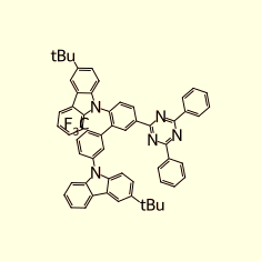 CC(C)(C)c1ccc2c(c1)c1ccccc1n2-c1ccc(C(F)(F)F)c(-c2cc(-c3nc(-c4ccccc4)nc(-c4ccccc4)n3)ccc2-n2c3ccccc3c3cc(C(C)(C)C)ccc32)c1